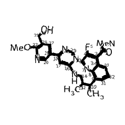 CNC(=O)c1c(F)cnc2c(C(C)C(C)CNc3cc(-c4cnc(OC)c(CO)c4)ncn3)cccc12